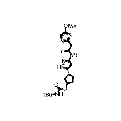 COc1cnc(CC(=O)Nc2cc([C@H]3CCC(OC(=O)NC(C)(C)C)C3)[nH]n2)s1